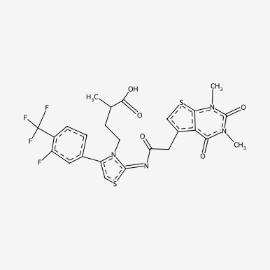 CC(CCn1c(-c2ccc(C(F)(F)F)c(F)c2)csc1=NC(=O)Cc1csc2c1c(=O)n(C)c(=O)n2C)C(=O)O